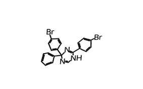 Brc1ccc(C2=NC(c3ccccc3)(c3ccc(Br)cc3)N=CN2)cc1